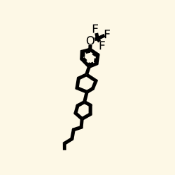 CCCCCC1CCC(C2CCC(c3ccc(OC(F)(F)F)cc3)CC2)CC1